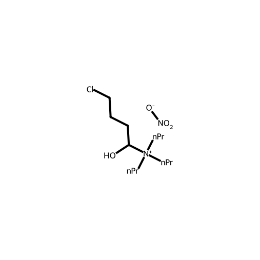 CCC[N+](CCC)(CCC)C(O)CCCCl.O=[N+]([O-])[O-]